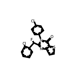 O=c1c2sccc2nc(C(F)c2ccccc2Cl)n1-c1ccc(Cl)cc1